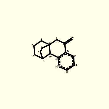 C=C1CC23CCCC(CC2)C3c2ncccc21